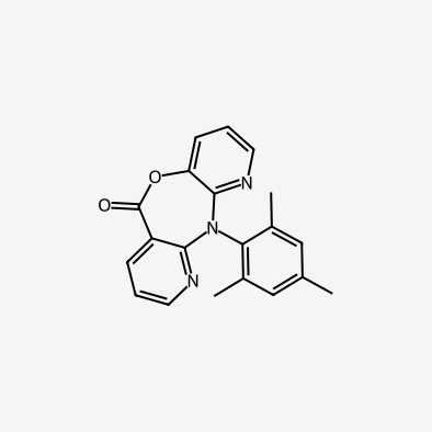 Cc1cc(C)c(N2c3ncccc3OC(=O)c3cccnc32)c(C)c1